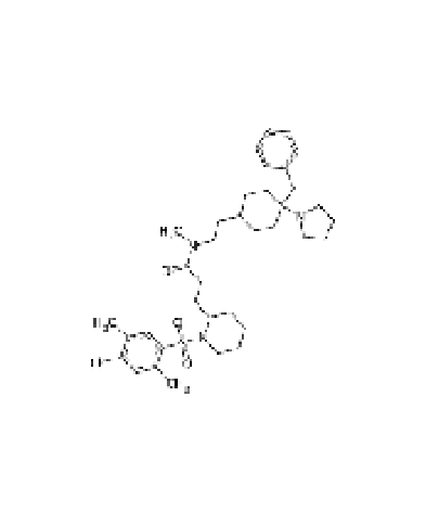 Cc1cc(S(=O)(=O)N2CCCCC2CCC(=O)N(C)CCC2CCC(Cc3ccccc3)(N3CCCC3)CC2)c(C)cc1Cl